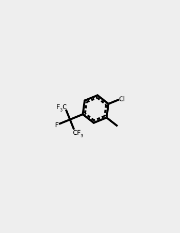 Cc1cc(C(F)(C(F)(F)F)C(F)(F)F)ccc1Cl